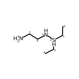 CC[SiH](CC)NCCN